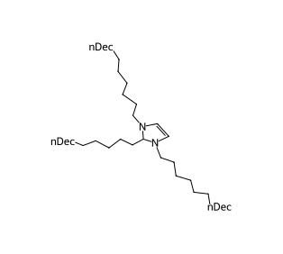 CCCCCCCCCCCCCCCCN1C=CN(CCCCCCCCCCCCCCCC)C1CCCCCCCCCCCCCCC